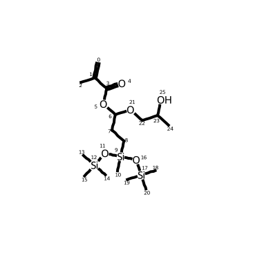 C=C(C)C(=O)OC(CC[Si](C)(O[Si](C)(C)C)O[Si](C)(C)C)OCC(C)O